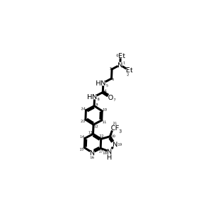 CCN(CC)CCNC(=O)Nc1ccc(-c2ccnc3[nH]nc(C(F)(F)F)c23)cc1